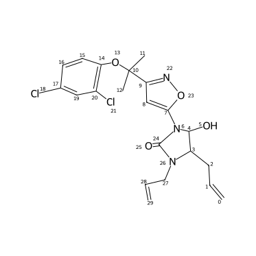 C=CCC1C(O)N(c2cc(C(C)(C)Oc3ccc(Cl)cc3Cl)no2)C(=O)N1CC=C